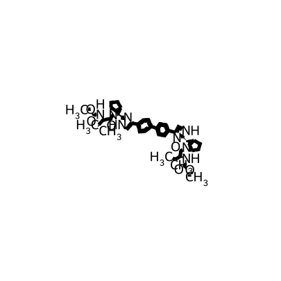 COC(=O)N[C@H](C(=O)N1C2CCC(C2)[C@H]1c1nc(-c2ccc(-c3ccc(-c4c[nH]c([C@@H]5C6CCC(C6)N5C(=O)[C@@H](NC(=O)OC)C(C)C)n4)cc3)cc2)c[nH]1)C(C)C